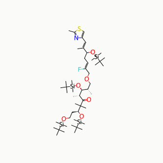 C/C(=C\c1csc(C)n1)C(C/C=C(\F)COC[C@H](C)[C@H](O[Si](C)(C)C(C)(C)C)[C@@H](C)C(=O)C(C)(C)[C@H](CCO[Si](C)(C)C(C)(C)C)O[Si](C)(C)C(C)(C)C)O[Si](C)(C)C(C)(C)C